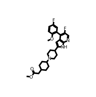 COC(=O)CC1CCC(N2CCC(c3cc4c(-c5cc(F)ccc5OC)c(F)cnc4[nH]3)CC2)CC1